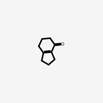 O=C1CCCC2=C1CCC2